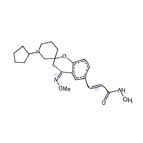 CO/N=C1/CC2(CCCN(C3CCCC3)C2)Oc2ccc(/C=C/C(=O)NO)cc21